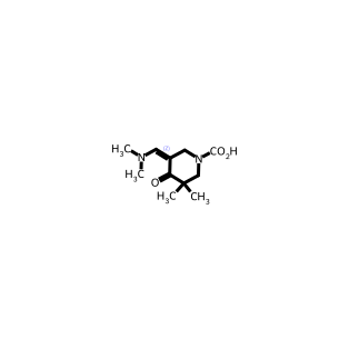 CN(C)/C=C1/CN(C(=O)O)CC(C)(C)C1=O